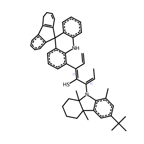 C=C/C(=C(S)\C(=C/C)N1c2c(C)cc(C(C)(C)C)cc2C2(C)CCCCC12C)c1cccc2c1Nc1ccccc1C21C2=C(CCC=C2)c2ccccc21